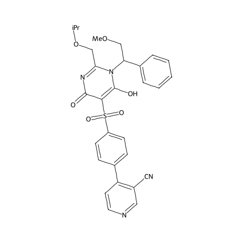 COCC(c1ccccc1)n1c(COC(C)C)nc(=O)c(S(=O)(=O)c2ccc(-c3ccncc3C#N)cc2)c1O